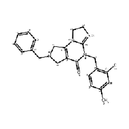 Cc1ccc(CN2C(=O)C3=C(CN(Cc4ccccc4)C3)N3CCN=C23)c(Cl)c1